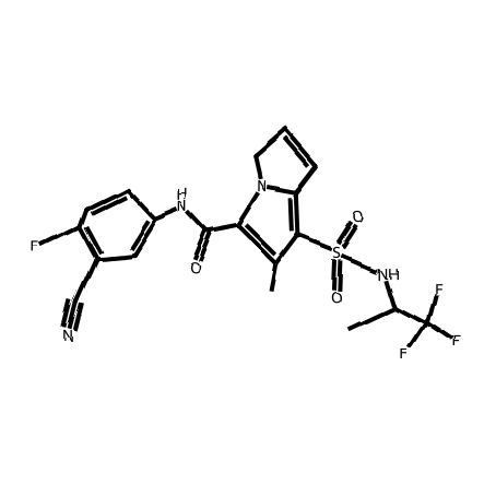 Cc1c(S(=O)(=O)NC(C)C(F)(F)F)c2n(c1C(=O)Nc1ccc(F)c(C#N)c1)CC=C2